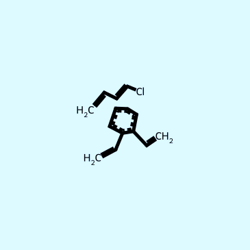 C=CC=CCl.C=Cc1ccccc1C=C